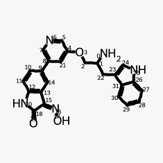 NC(COc1cncc(-c2ccc3c(c2)C(=NO)C(=O)N3)c1)Cc1c[nH]c2ccccc12